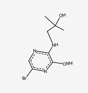 COc1nc(Br)cnc1NCC(C)(C)O